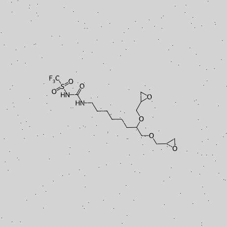 O=C(NCCCCCCC(COCC1CO1)OCC1CO1)NS(=O)(=O)C(F)(F)F